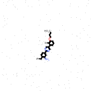 CCc1c(OCCCC(=O)O)cccc1-c1cnc(-c2ccc(CC(C)C)c(N)c2)nc1